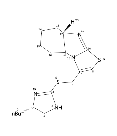 CCCC[C@H]1CNC(SCC2=CSC3=N[C@H]4CCCCC4N23)=N1